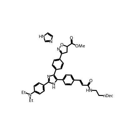 CCCCCCCCCCCCNC(=O)/C=C/c1ccc(-c2[nH]c(-c3ccc(N(CC)CC)cc3)nc2-c2ccc(C3=NOC(C(=O)OC)C3)cc2)cc1.c1c[nH]cn1